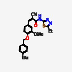 CCc1nnc(NC(=O)C(C#N)=Cc2ccc(OCc3ccc(C(C)(C)C)cc3)c(OC)c2)s1